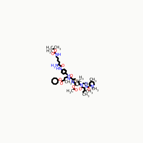 CC[C@H](C)[C@H](NC(=O)[C@H]1C[C@H](C)CCN1C)C(=O)N(CC)[C@H](C[C@@H](OC(C)=O)c1nc(C(=O)N[C@@H](Cc2ccc(NC(=O)[C@@H](N)CCCCNC(=O)OC(C)(C)C)cc2)C[C@H](C)C(=O)OC2CCCCCCC2)cs1)C(C)C